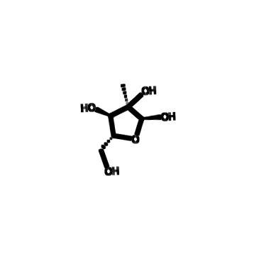 C[C@@]1(O)[C@H](O)[C@@H](CO)O[C@@H]1O